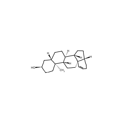 C[C@]12CC[C@@H](O)C[C@@H]1CC[C@@H]1[C@@H]2CC[C@@]23C=CCC[C@H]2CC[C@@H]13